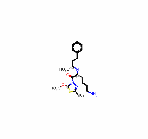 CC(C)(C)C1=NN(C(=O)[C@H](CCCCN)N[C@@H](CCc2ccccc2)C(=O)O)[C@@H](OC(=O)O)S1